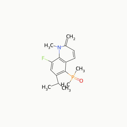 C=C1C=Cc2c(c(F)cc(C(C)C)c2P(C)(C)=O)N1C